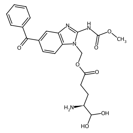 COC(=O)Nc1nc2cc(C(=O)c3ccccc3)ccc2n1COC(=O)CC[C@H](N)C(O)O